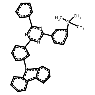 C[Si](C)(C)c1cccc(-c2nc(-c3ccccc3)nc(-c3cccc(-n4c5ccccc5c5ccccc54)c3)n2)c1